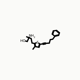 Cc1cc(C#CCCCc2ccccc2)sc1CCC(C)(N)CO